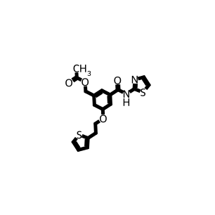 CC(=O)OCC1=CC(C(=O)Nc2nccs2)=CC(OCCc2cccs2)C1